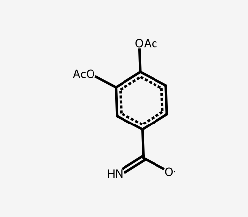 CC(=O)Oc1ccc(C(=N)[O])cc1OC(C)=O